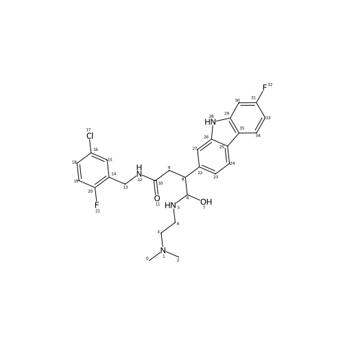 CN(C)CCNC(O)C(CC(=O)NCc1cc(Cl)ccc1F)c1ccc2c(c1)[nH]c1cc(F)ccc12